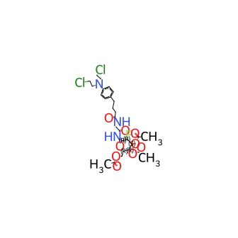 CC(=O)OC[C@H]1O[C@@H](NC(=O)CNC(=O)CCCc2ccc(N(CCCl)CCCl)cc2)[C@H](F)[C@@H](OC(C)=O)[C@@H]1OC(C)=O